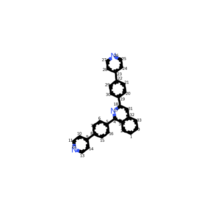 c1ccc2c(-c3ccc(-c4ccncc4)cc3)nc(-c3ccc(-c4ccncc4)cc3)cc2c1